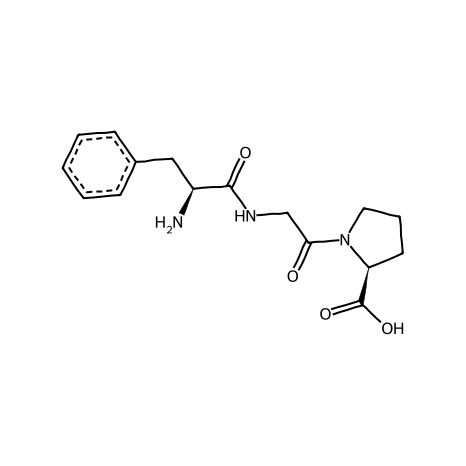 N[C@@H](Cc1ccccc1)C(=O)NCC(=O)N1CCC[C@H]1C(=O)O